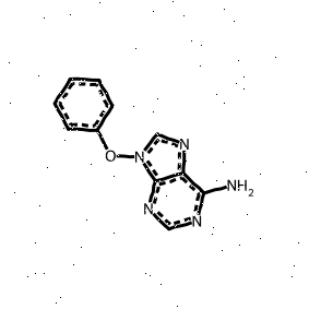 Nc1ncnc2c1ncn2Oc1ccccc1